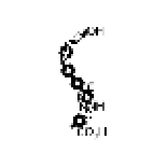 Cc1ccc(Oc2nc3nc(-c4ccc(-c5ccc(CN6CCN(CCOCCO)CC6)cc5)cc4)c(Cl)cc3[nH]2)cc1C(=O)O